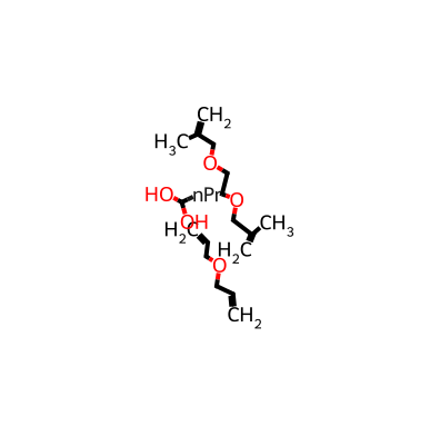 C=C(C)COCCOCC(=C)C.C=CCOCC=C.CCCC(O)O